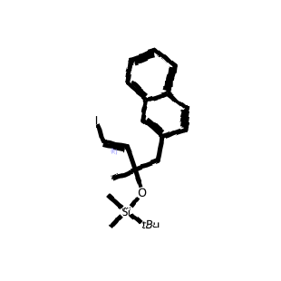 CC(/C=C/I)(Cc1ccc2ccccc2c1)O[Si](C)(C)C(C)(C)C